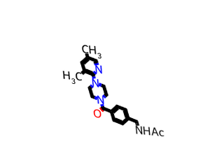 CC(=O)NCc1ccc(C(=O)N2CCN(c3ncc(C)cc3C)CC2)cc1